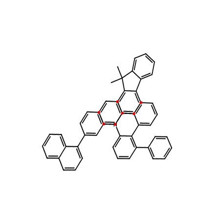 CC1(C)c2ccccc2-c2ccc(N(c3cccc(-c4cccc5ccccc45)c3)c3cccc(-c4ccccc4)c3-c3ccccc3-c3ccccc3)cc21